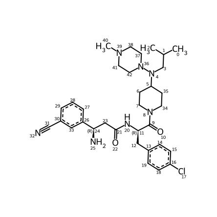 CC(C)CN(C1CCN(C(=O)[C@@H](Cc2ccc(Cl)cc2)NC(=O)C[C@@H](N)c2cccc(C#N)c2)CC1)N1CCN(C)CC1